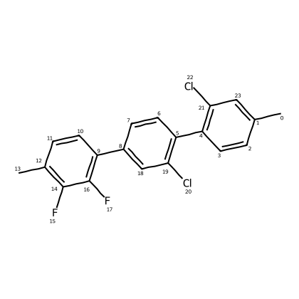 Cc1ccc(-c2ccc(-c3ccc(C)c(F)c3F)cc2Cl)c(Cl)c1